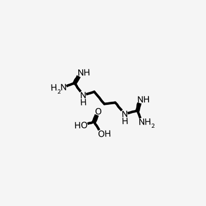 N=C(N)NCCCNC(=N)N.O=C(O)O